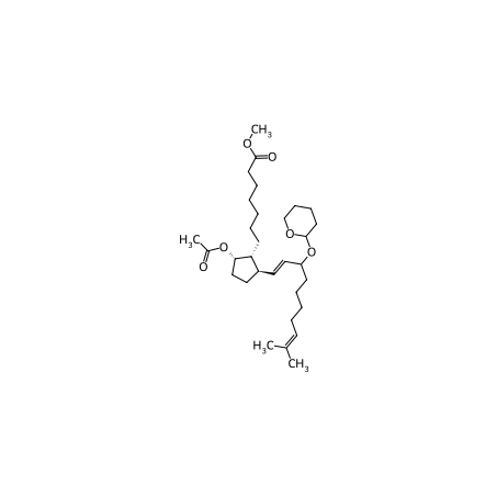 COC(=O)CCCCCC[C@H]1[C@@H](OC(C)=O)CC[C@@H]1/C=C/C(CCCCC=C(C)C)OC1CCCCO1